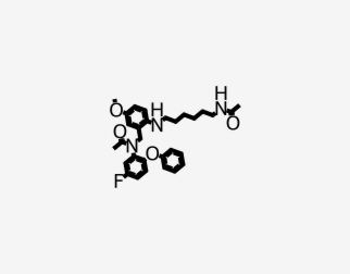 COc1ccc(NCCCCCCNC(C)=O)c(CN(C(C)=O)c2cc(F)ccc2Oc2ccccc2)c1